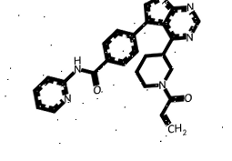 C=CC(=O)N1CCCC(c2ncnc3[nH]cc(-c4ccc(C(=O)Nc5ccccn5)cc4)c23)C1